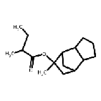 CCC(C)C(=O)OC1(C)CC2CC1C1CCCC21